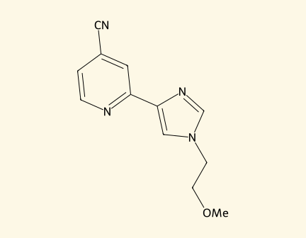 COCCn1cnc(-c2cc(C#N)ccn2)c1